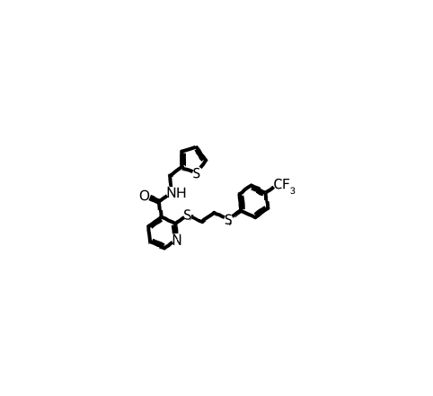 O=C(NCc1cccs1)c1cccnc1SCCSc1ccc(C(F)(F)F)cc1